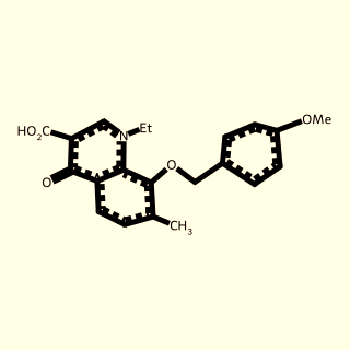 CCn1cc(C(=O)O)c(=O)c2ccc(C)c(OCc3ccc(OC)cc3)c21